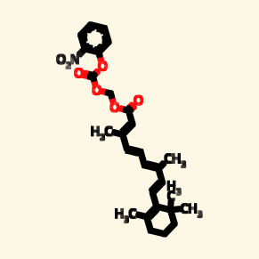 CC(C=CC1=C(C)CCCC1(C)C)=CC=CC(C)=CC(=O)OCOC(=O)Oc1ccccc1[N+](=O)[O-]